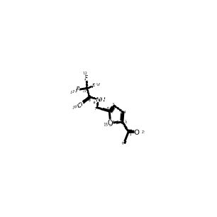 CC(=O)c1ccc(CNC(=O)C(F)(F)F)o1